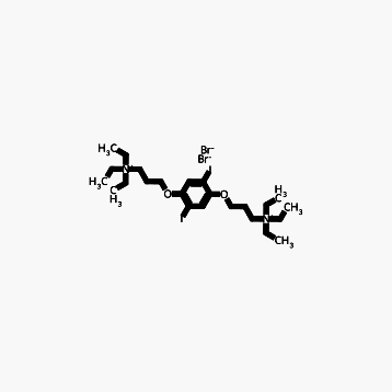 CC[N+](CC)(CC)CCCOc1cc(I)c(OCCC[N+](CC)(CC)CC)cc1I.[Br-].[Br-]